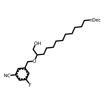 CCCCCCCCCCCCCCCCCCCCC(CO)OCc1cc(F)cc(C#N)c1